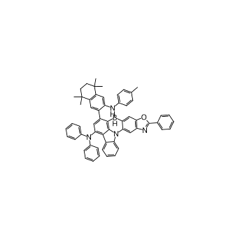 Cc1ccc(Nc2cc3c(cc2-c2cc(N(c4ccccc4)c4ccccc4)c4c5ccccc5n5c4c2Bc2cc4oc(-c6ccccc6)nc4cc2-5)C(C)(C)CCC3(C)C)cc1